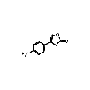 Cc1ccc(-c2noc(=O)[nH]2)nc1